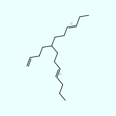 C=CCC[C](CC/C=C/CC)CC/C=C/CCC